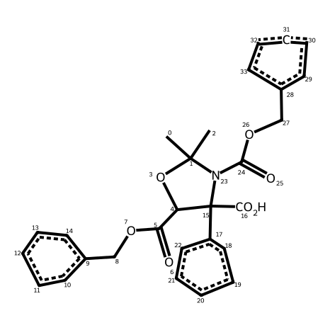 CC1(C)OC(C(=O)OCc2ccccc2)C(C(=O)O)(c2ccccc2)N1C(=O)OCc1ccccc1